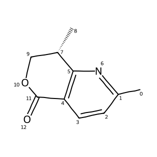 Cc1ccc2c(n1)[C@@H](C)COC2=O